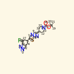 Cn1cc2cc(-c3cn4cc(C5CCN(C(=O)OC(C)(C)C)CC5)nc4s3)cc(F)c2n1